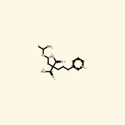 CC(N)OCCC(CCCc1cccnc1)(C(=O)O)C(=O)O